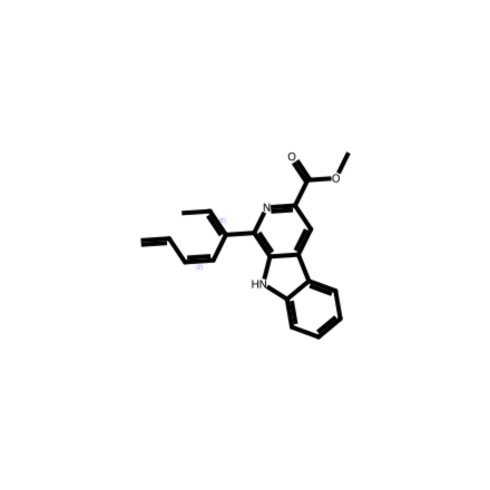 C=C/C=C\C(=C/C)c1nc(C(=O)OC)cc2c1[nH]c1ccccc12